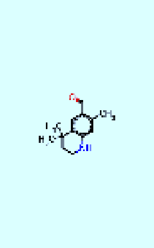 Cc1cc2c(cc1C=O)C(C)(C)CCN2